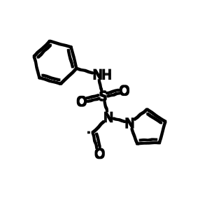 O=[C]N(n1cccc1)S(=O)(=O)Nc1ccccc1